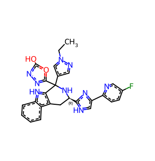 CCn1cc(C2(c3nnc(O)o3)N[C@@H](c3nc(-c4ccc(F)cn4)c[nH]3)Cc3c2[nH]c2ccccc32)cn1